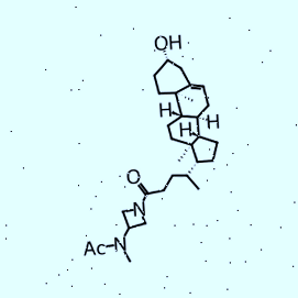 CC(=O)N(C)C1CN(C(=O)CCC(C)[C@H]2CC[C@H]3[C@@H]4CC=C5C[C@@H](O)CC[C@]5(C)[C@H]4CC[C@]23C)C1